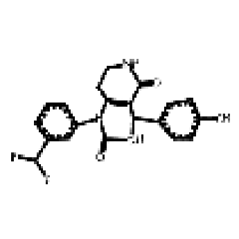 N#Cc1ccc(C2NC(=O)N(c3cccc(C(F)F)c3)C3=C2C(=O)NCC3)cc1